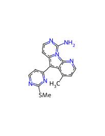 CSc1nccc(-c2c3c(C)ccnc3n3c(N)nccc23)n1